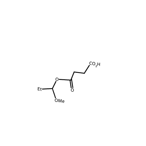 CCC(OC)OC(=O)CCC(=O)O